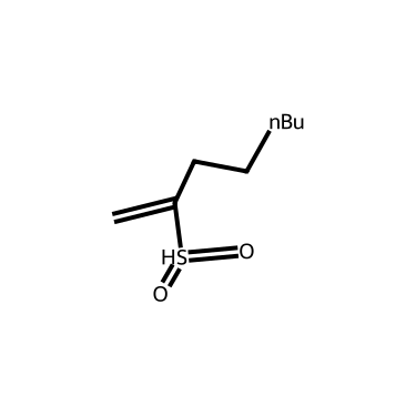 C=C(CCCCCC)[SH](=O)=O